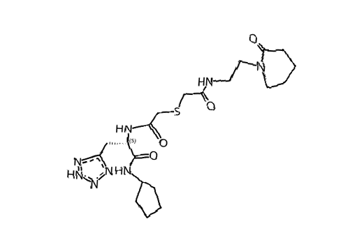 O=C(CSCC(=O)N[C@@H](Cc1nn[nH]n1)C(=O)NC1CCCC1)NCCN1CCCCC1=O